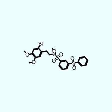 COc1cc(Br)c(CCNS(=O)(=O)c2cccc(S(=O)(=O)c3ccccc3)c2)cc1OC